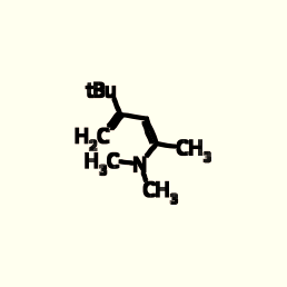 C=C(/C=C(/C)N(C)C)C(C)(C)C